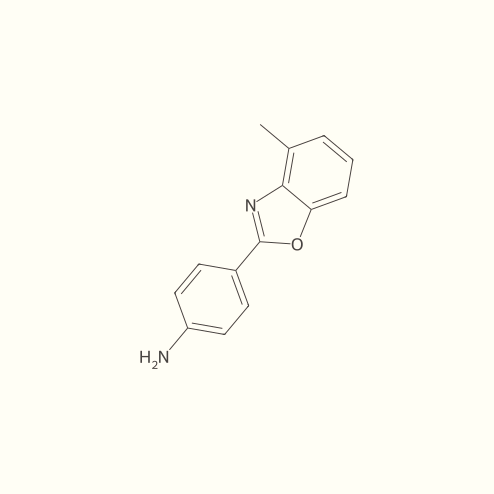 Cc1cccc2oc(-c3ccc(N)cc3)nc12